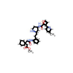 COC(=O)CC1(CC(=O)Nc2ccccc2CCC2CC(NC(=O)c3occc3-c3ccc(C)cn3)CCN2)CCCCC1